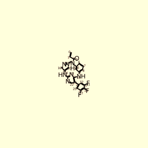 C=CC(=O)Nc1cccc(Nc2nc(Nc3cnn(C)c3)ncc2-c2cc(F)c(F)c(F)c2)c1